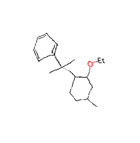 CCOC1CC(C)CCC1C(C)(C)c1ccccc1